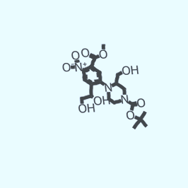 COC(=O)c1cc(N2CCN(C(=O)OC(C)(C)C)CC2CO)c(C(O)CO)cc1[N+](=O)[O-]